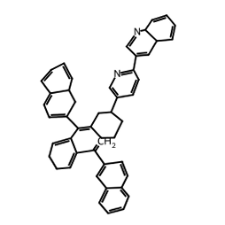 C=C(C1=CCCC=C1/C(C1=CC=C2C=CC=CC2C1)=C1\CCCC(c2ccc(C3=CC4C=CC=CC4N=C3)nc2)C1)c1ccc2ccccc2c1